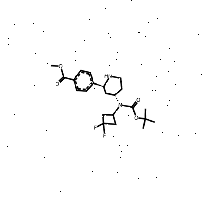 COC(=O)c1ccc([C@@H]2C[C@@H](N(C(=O)OC(C)(C)C)C3CC(F)(F)C3)CCN2)cc1